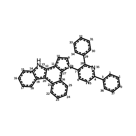 c1ccc(-c2ncc(-n3ccc4c5[nH]c6ccccc6c5c5ccccc5c43)c(-c3ccccc3)n2)cc1